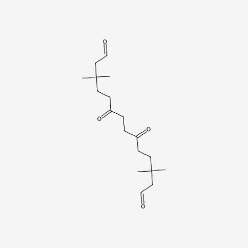 CC(C)(CC=O)CCC(=O)CCC(=O)CCC(C)(C)CC=O